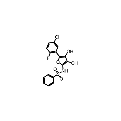 O=S(=O)(Nc1oc(-c2cc(Cl)ccc2F)c(O)c1O)c1ccccc1